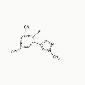 CCCc1cc(C#N)c(F)c(-c2cnn(C)c2)c1